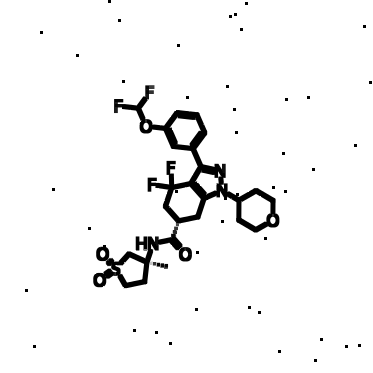 C[C@]1(NC(=O)[C@H]2Cc3c(c(-c4cccc(OC(F)F)c4)nn3C3CCOCC3)C(F)(F)C2)CCS(=O)(=O)C1